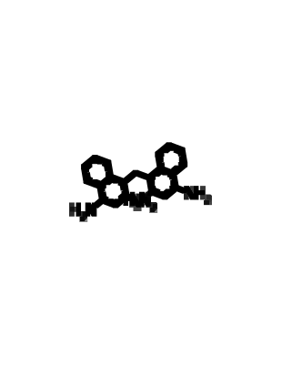 Nc1cc(N)c2ccccc2c1Cc1c(N)cc(N)c2ccccc12